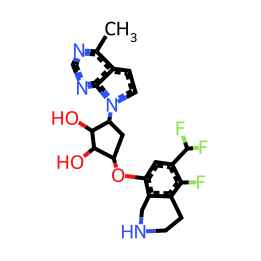 Cc1ncnc2c1ccn2C1CC(Oc2cc(C(F)F)c(F)c3c2CNCC3)C(O)C1O